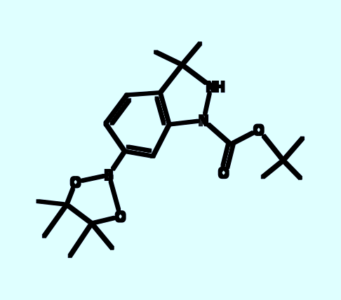 CC(C)(C)OC(=O)N1NC(C)(C)c2ccc(B3OC(C)(C)C(C)(C)O3)cc21